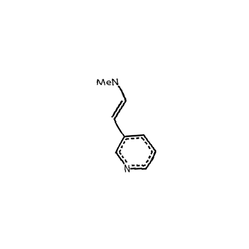 CNC=Cc1cccnc1